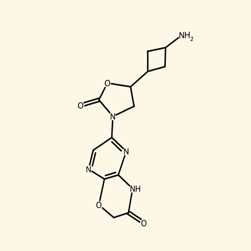 NC1CC(C2CN(c3cnc4c(n3)NC(=O)CO4)C(=O)O2)C1